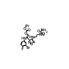 CC(C)OC(=O)O/N=C(\Nc1ccc(F)c(Br)c1)c1nonc1NCCNS(N)(=O)=O